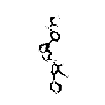 C=CC(=O)Nc1cccc(-c2cnn3cnc(Nc4ccc(N5CCOCC5)c(F)c4F)cc23)c1